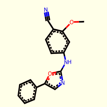 COc1cc(Nc2ncc(-c3ccccc3)o2)ccc1C#N